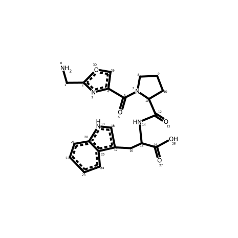 NCc1nc(C(=O)N2CCCC2C(=O)NC(Cc2c[nH]c3ccccc23)C(=O)O)co1